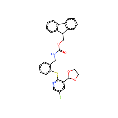 O=C(NCc1ccccc1Sc1ncc(F)cc1C1OCCO1)OCC1c2ccccc2-c2ccccc21